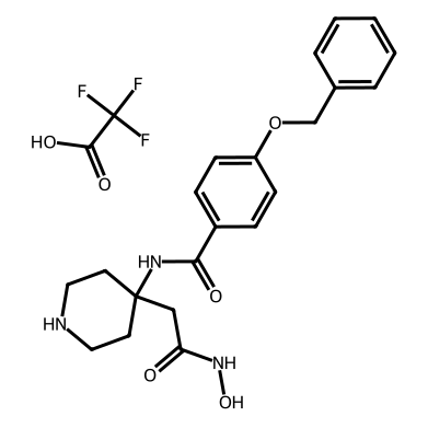 O=C(CC1(NC(=O)c2ccc(OCc3ccccc3)cc2)CCNCC1)NO.O=C(O)C(F)(F)F